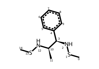 CSN[C@H](c1ccccc1)[C@@H](C)NSC